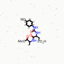 COC(=O)C(C)NC(=O)C(CC(=O)O)NC(=O)Nc1ccc(C#N)cc1